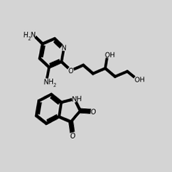 Nc1cnc(OCCC(O)CCO)c(N)c1.O=C1Nc2ccccc2C1=O